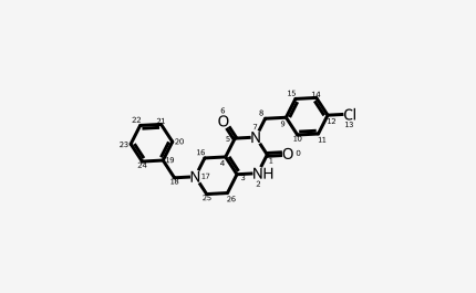 O=c1[nH]c2c(c(=O)n1Cc1ccc(Cl)cc1)CN(Cc1ccccc1)CC2